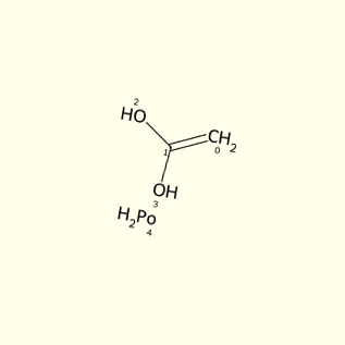 C=C(O)O.[PoH2]